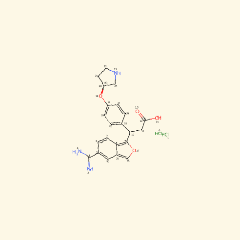 Cl.Cl.N=C(N)c1ccc2c(C(CC(=O)O)c3ccc(O[C@H]4CCNC4)cc3)occ2c1